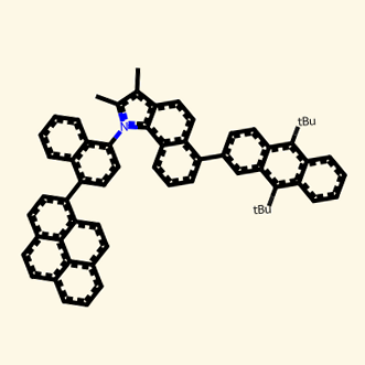 Cc1c(C)n(-c2ccc(-c3ccc4ccc5cccc6ccc3c4c56)c3ccccc23)c2c1ccc1c(-c3ccc4c(C(C)(C)C)c5ccccc5c(C(C)(C)C)c4c3)cccc12